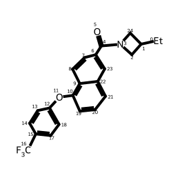 CCC1CN(C(=O)c2ccc3c(Oc4ccc(C(F)(F)F)cc4)cccc3c2)C1